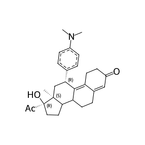 CC(=O)[C@@]1(O)CCC2C3CCC4=CC(=O)CCC4=C3[C@@H](c3ccc(N(C)C)cc3)C[C@@]21C